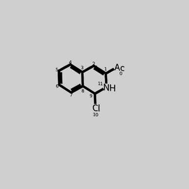 CC(=O)C1=[C]c2ccccc2C(Cl)N1